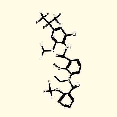 CCN(C(=O)c1ccccc1OC(F)(F)F)c1cccc(C(=O)Nc2c(Cl)cc(C(F)(C(F)(F)F)C(F)(F)F)cc2OC(F)F)c1OC